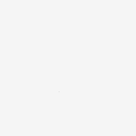 c1ccc(-c2cc(COC3CCC4OC34)cs2)cc1